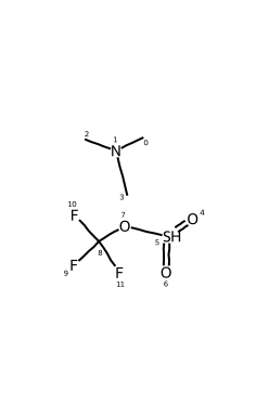 CN(C)C.O=[SH](=O)OC(F)(F)F